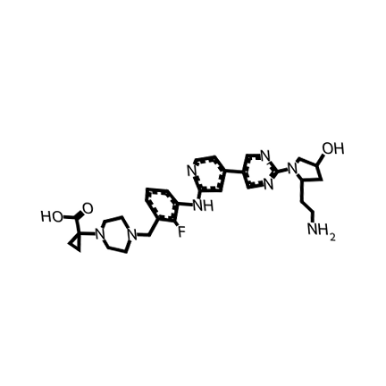 NCCC1CC(O)CN1c1ncc(-c2ccnc(Nc3cccc(CN4CCN(C5(C(=O)O)CC5)CC4)c3F)c2)cn1